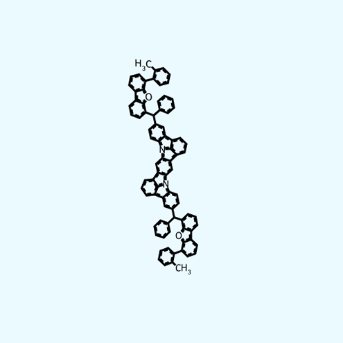 Cc1ccccc1-c1cccc2c1oc1c(C(c3ccccc3)c3ccc4c(c3)c3cccc5c6cc7c(cc6n4c35)c3cccc4c5cc(C(c6ccccc6)c6cccc8c6oc6c(-c9ccccc9C)cccc68)ccc5n7c43)cccc12